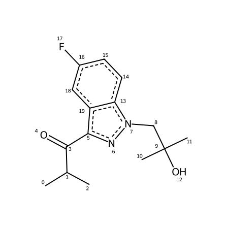 CC(C)C(=O)c1nn(CC(C)(C)O)c2ccc(F)cc12